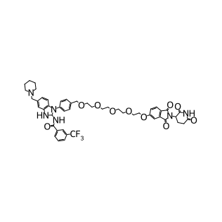 O=C1CCC(N2C(=O)c3ccc(OCCOCCOCCOCCOCc4ccc(N5c6ccc(CN7CCCCC7)cc6NC5NC(=O)c5cccc(C(F)(F)F)c5)cc4)cc3C2=O)C(=O)N1